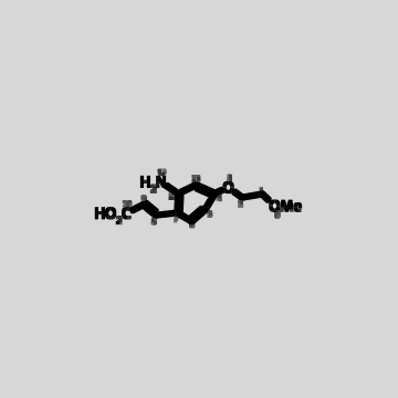 COCCOc1ccc(C=CC(=O)O)c(N)c1